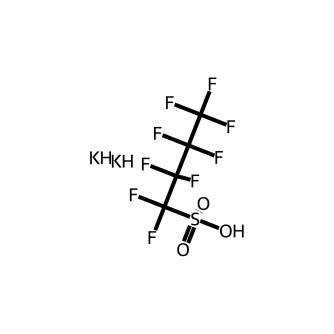 O=S(=O)(O)C(F)(F)C(F)(F)C(F)(F)C(F)(F)F.[KH].[KH]